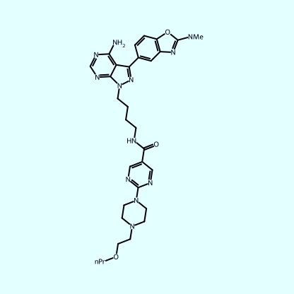 CCCOCCN1CCN(c2ncc(C(=O)NCCCCn3nc(-c4ccc5oc(NC)nc5c4)c4c(N)ncnc43)cn2)CC1